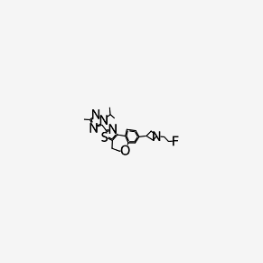 Cc1nc(-c2nc3c(s2)CCOc2cc(C4CN(CCF)C4)ccc2-3)n(C(C)C)n1